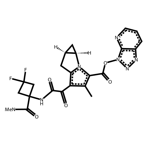 CNC(=O)C1(NC(=O)C(=O)c2c(C)c(C(=O)On3nnc4cccnc43)n3c2C[C@H]2C[C@H]23)CC(F)(F)C1